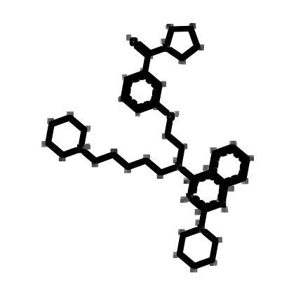 O=C(c1cccc(OCCN(CCCCCN2CCCCC2)c2nc(N3CCCCC3)nc3ccccc23)c1)N1CCCC1